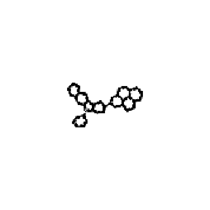 c1ccc(-n2c3ccc(-c4cc5ccc6cccc7ccc(c4)c5c67)cc3c3cc4ccccc4cc32)cc1